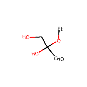 CCOC(O)(C=O)CO